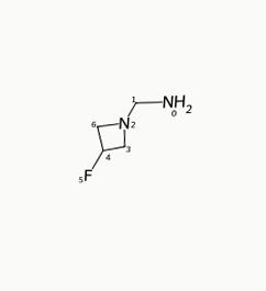 NCN1CC(F)C1